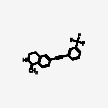 C=C1NCCc2cc(C#Cc3cccc(C(F)(F)F)c3)ccc21